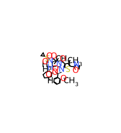 COc1ccccc1[C@H](Cn1c(=O)n(C(C)(C)C(=O)NS(=O)(=O)C2CC2)c(=O)c2c(C)c(-c3ncco3)sc21)O[C@@H]1C[C@H]2CC[C@@H](C1)O2